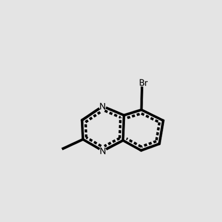 Cc1cnc2c(Br)cccc2n1